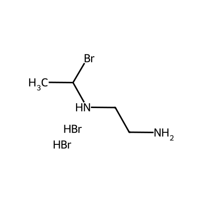 Br.Br.CC(Br)NCCN